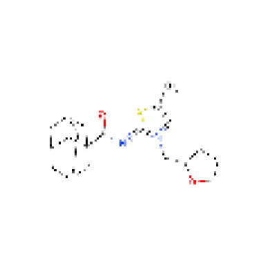 Cc1cn(CC2CCCO2)/c(=N/C(=O)C23CC4CC(CC(C4)C2)C3)s1